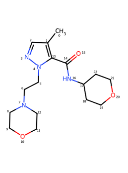 Cc1cnn(CCN2CCOCC2)c1C(=O)NC1CCOCC1